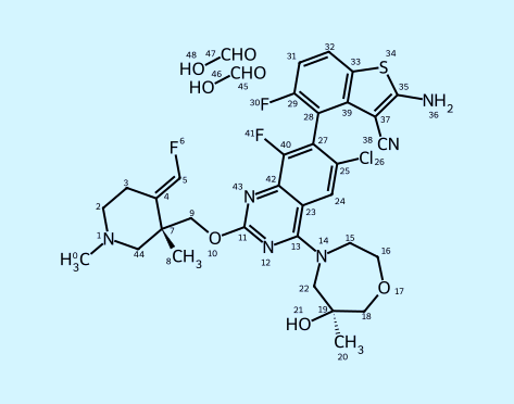 CN1CC/C(=C\F)[C@](C)(COc2nc(N3CCOC[C@@](C)(O)C3)c3cc(Cl)c(-c4c(F)ccc5sc(N)c(C#N)c45)c(F)c3n2)C1.O=CO.O=CO